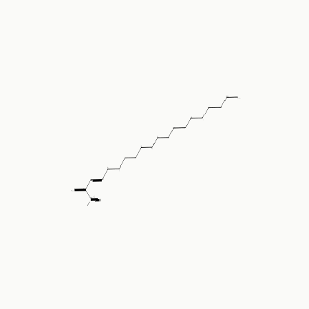 C=C(/C=C/CCCCCCCCCCCCCCCC)C(=O)O